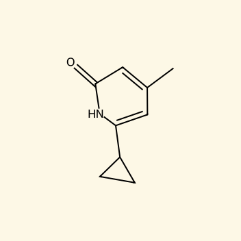 Cc1cc(C2CC2)[nH]c(=O)c1